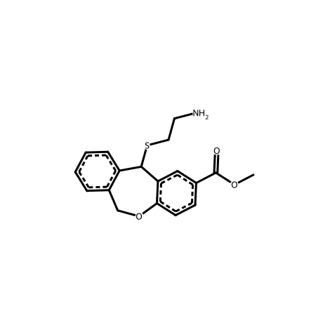 COC(=O)c1ccc2c(c1)C(SCCN)c1ccccc1CO2